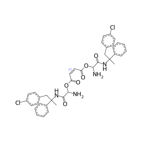 CC(Cc1ccc(Cl)cc1)(NC(=O)C(N)OC(=O)/C=C\C(=O)OC(N)C(=O)NC(C)(Cc1ccc(Cl)cc1)c1ccccc1)c1ccccc1